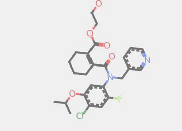 COCCOC(=O)C1=C(C(=O)N(Cc2cccnc2)c2cc(OC(C)C)c(Cl)cc2F)CCCC1